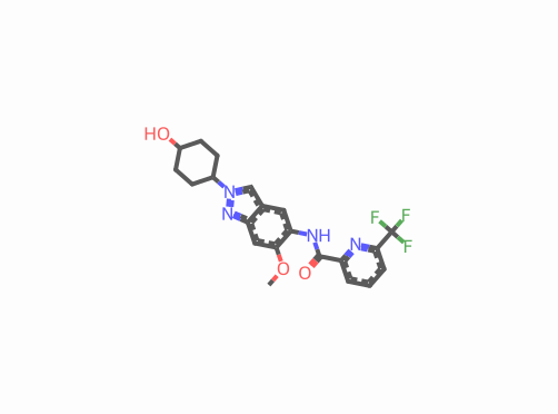 COc1cc2nn(C3CCC(O)CC3)cc2cc1NC(=O)c1cccc(C(F)(F)F)n1